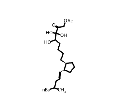 CCCCC(C)CC=C[C@H]1CCC[C@@H]1CCCCC(O)C(O)(O)C(=O)COC(C)=O